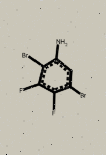 Nc1cc(Br)c(F)c(F)c1Br